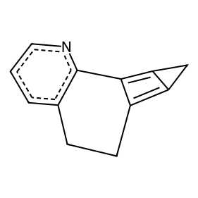 c1cnc2c(c1)CCC1=C3CC3=C12